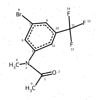 CC(=O)N(C)c1cc(Br)cc(C(F)(F)F)c1